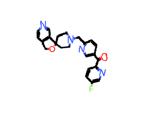 O=C(c1ccc(CN2CCC3(CC2)OCc2ccncc23)nc1)c1ccc(F)cn1